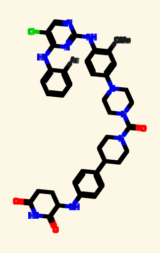 COc1cc(N2CCN(C(=O)N3CCC(c4ccc(NC5CCC(=O)NC5=O)cc4)CC3)CC2)ccc1Nc1ncc(Cl)c(Nc2ccccc2C(C)=O)n1